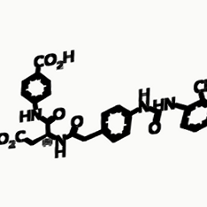 Cc1ccccc1NC(=O)Nc1ccc(CC(=O)N[C@@H](CC(=O)O)C(=O)Nc2ccc(C(=O)O)cc2)cc1